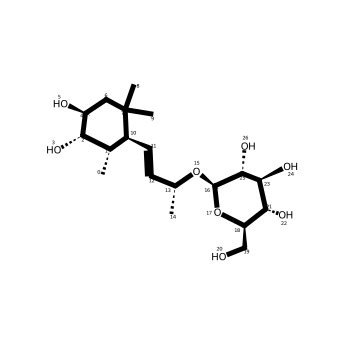 C[C@@H]1[C@H](O)[C@@H](O)CC(C)(C)[C@H]1/C=C/[C@@H](C)O[C@@H]1O[C@H](CO)[C@@H](O)[C@H](O)[C@H]1O